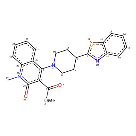 COC(=O)c1c(N2CCC(c3nc4ccccc4s3)CC2)c2ccccc2n(C)c1=O